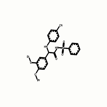 CCOc1cc(C(Nc2ccc(C#N)cc2)C(=O)NS(=O)(=O)c2ccccc2)ccc1OC(C)C